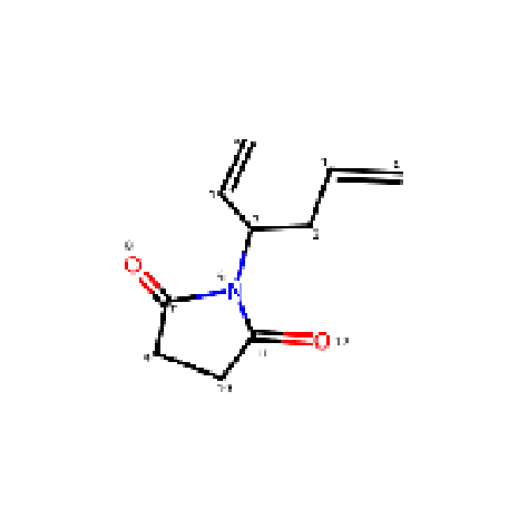 C=CCC(C=C)N1C(=O)CCC1=O